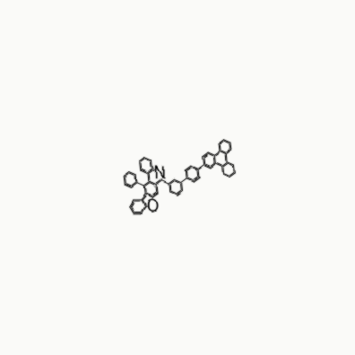 c1ccc(-c2c3c(cc4c(-c5cccc(-c6ccc(-c7ccc8c9ccccc9c9ccccc9c8c7)cc6)c5)nc5ccccc5c24)oc2ccccc23)cc1